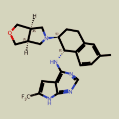 Cc1ccc2c(c1)CC[C@H](N1C[C@H]3COC[C@H]3C1)[C@H]2Nc1ncnc2[nH]c(C(F)(F)F)cc12